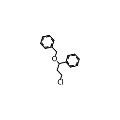 ClCCC(OCc1ccccc1)c1ccccc1